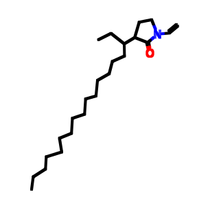 C=CN1CCC(C(CC)CCCCCCCCCCCCCCC)C1=O